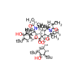 C=CC(=O)N1C(C)(C)CC(C(C(=O)OCc2cc(C(C)(C)C)c(O)c(C(C)(C)C)c2)(C(=O)OCc2cc(C(C)(C)C)c(O)c(C(C)(C)C)c2)C2CC(C)(C)N(C(=O)C=C)C(C)(C)C2)CC1(C)C